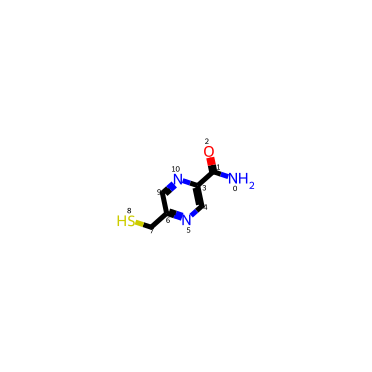 NC(=O)c1cnc(CS)cn1